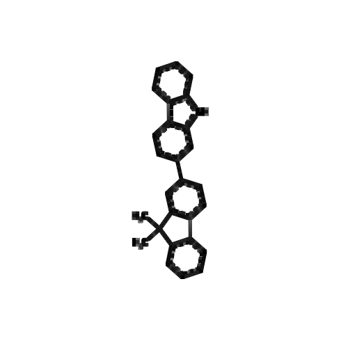 CC1(C)c2ccccc2-c2ccc(-c3ccc4c(c3)[nH]c3ccccc34)cc21